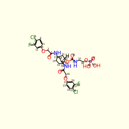 O=C(COc1ccc(Cl)c(F)c1)NC12CCC(NC(=O)COc3ccc(Cl)c(F)c3)(CC1)[C@@H](OC(=O)NCCOP(=O)(O)O)C2